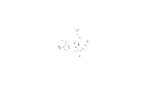 O=C(O)C(F)(F)F.O=C1CS(=O)(=O)c2ccc(CC(=O)N(CC(F)(F)F)[C@H](CN3CC[C@H](O)C3)c3cccc(OC(F)(F)F)c3)cc2N1